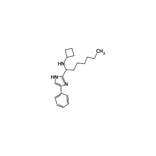 CCCCCCC(NC1CCC1)c1nc(-c2ccccc2)c[nH]1